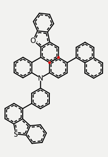 c1cc(-c2cccc3sc4ccccc4c23)cc(N(c2ccc(-c3cccc4ccccc34)cc2)c2ccccc2-c2cccc3c2oc2ccccc23)c1